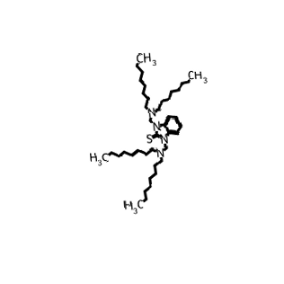 CCCCCCCCN(CCCCCCCC)Cn1c(=S)n(CN(CCCCCCCC)CCCCCCCC)c2ccccc21